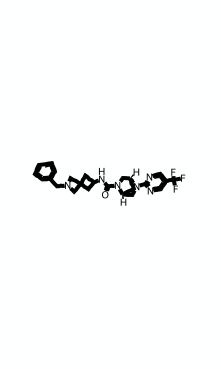 O=C(NC1CC2(C1)CN(Cc1ccccc1)C2)N1C[C@@H]2C[C@H]1CN2c1ncc(C(F)(F)F)cn1